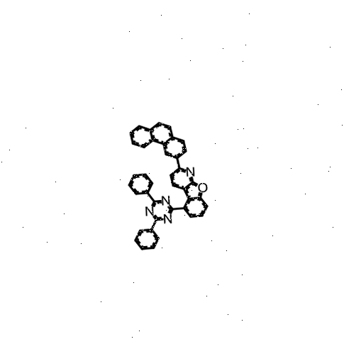 c1ccc(-c2nc(-c3ccccc3)nc(-c3cccc4oc5nc(-c6ccc7ccc8ccccc8c7c6)ccc5c34)n2)cc1